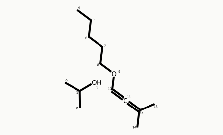 CC(C)O.CCCCCOC=C=C(C)C